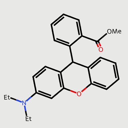 CCN(CC)c1ccc2c(c1)Oc1ccccc1C2c1ccccc1C(=O)OC